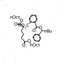 CCCCC(OC(=O)c1ccccc1C(=O)O)c1ccccc1.CCCCCCCCOC(=O)CCCCC(=O)OCCCCCCCC